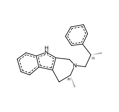 C[C@H](CN1Cc2[nH]c3ccccc3c2C[C@H]1C)c1ccccc1